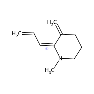 C=C/C=C1\C(=C)CCCN1C